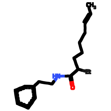 CC=CCCCCC(CC)C(=O)NCCc1ccccc1